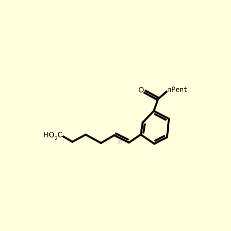 CCCCCC(=O)c1cccc(/C=C/CCCC(=O)O)c1